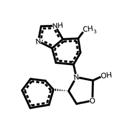 Cc1cc(N2C(O)OC[C@@H]2c2ccccc2)cc2nc[nH]c12